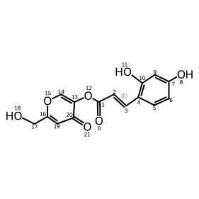 O=C(/C=C/c1ccc(O)cc1O)Oc1coc(CO)cc1=O